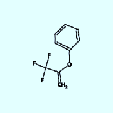 C=C(Oc1ccccc1)C(F)(F)F